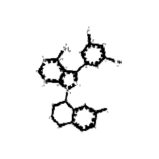 Cc1ccc2c(c1)C(n1nc(-c3cc(O)cc(F)c3)c3c(N)ncnc31)CCC2